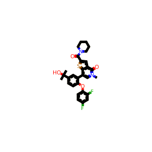 Cn1cc(-c2cc(C(C)(C)O)ccc2Oc2ccc(F)cc2F)c2sc(C(=O)N3CCCCC3)cc2c1=O